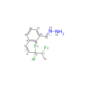 CC(F)C(F)(F)/C=C\c1cccc(/C=N/N)c1